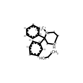 CCO.CN1CCNCC1(c1ccccc1)c1ccccc1